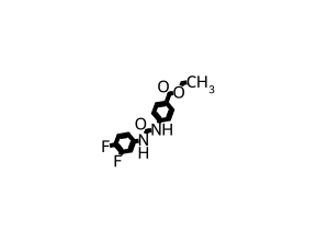 CCOC(=O)c1ccc(NC(=O)Nc2ccc(F)c(F)c2)cc1